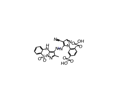 Cc1nn2c(c1/N=N/c1c(C#N)cnn1-c1cc(S(=O)(=O)O)ccc1S(=O)(=O)O)Nc1ccccc1S2(=O)=O